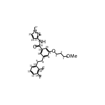 COCCCOc1cc(CCc2cccc(F)c2F)cc(C(=O)Nc2ccn(C)n2)c1